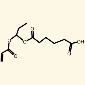 C=CC(=O)OC(CC)OC(=O)CCCCC(=O)O